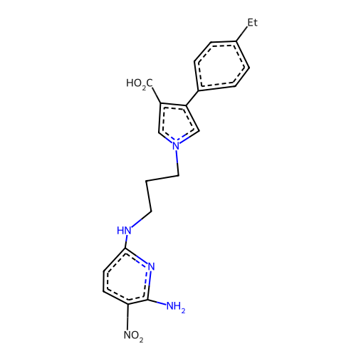 CCc1ccc(-c2cn(CCCNc3ccc([N+](=O)[O-])c(N)n3)cc2C(=O)O)cc1